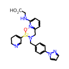 O=C(O)CNc1cccc(CN(Cc2ccc(-n3cccn3)cc2)[S+]([O-])C2=CCCN=C2)n1